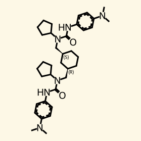 CN(C)c1ccc(NC(=O)N(C[C@@H]2CCC[C@H](CN(C(=O)Nc3ccc(N(C)C)cc3)C3CCCC3)C2)C2CCCC2)cc1